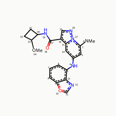 CNc1cc(Nc2cccc3ocnc23)cc2c(C(=O)NC3CCC3OC)cnn12